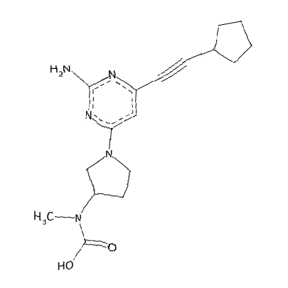 CN(C(=O)O)C1CCN(c2cc(C#CC3CCCC3)nc(N)n2)C1